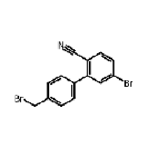 N#Cc1ccc(Br)cc1-c1ccc(CBr)cc1